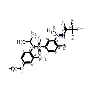 COc1ccc(N(C(C)C)S(=O)(=O)c2ccc(Br)c(/S(C)=N/C(=O)C(F)(F)F)c2)c(C)c1